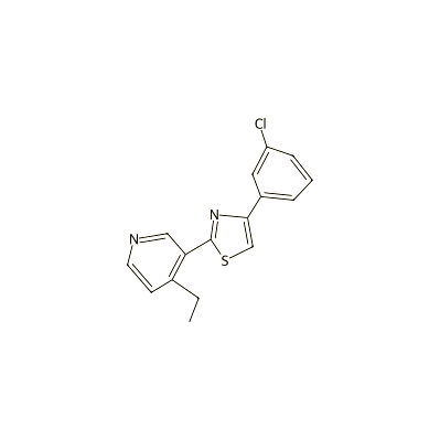 CCc1ccncc1-c1nc(-c2cccc(Cl)c2)cs1